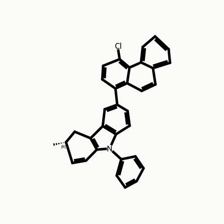 C[C@H]1C=Cc2c(c3cc(-c4ccc(Cl)c5c4ccc4ccccc45)ccc3n2-c2ccccc2)C1